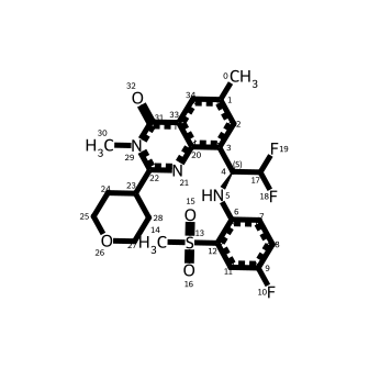 Cc1cc([C@H](Nc2ccc(F)cc2S(C)(=O)=O)C(F)F)c2nc(C3CCOCC3)n(C)c(=O)c2c1